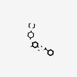 O=C(NS(=O)(=O)c1ccc(OC2CCC(N3CCOCC3)CC2)c([N+](=O)[O-])c1)c1ccccc1